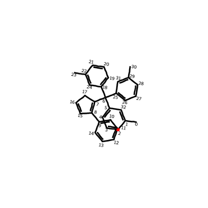 Cc1cccc(C(C2=C(c3ccccc3)C=CC2)(c2cccc(C)c2)c2cccc(C)c2)c1